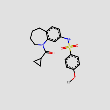 CCOc1ccc(S(=O)(=O)Nc2ccc3c(c2)N(C(=O)C2CC2)CCCC3)cc1